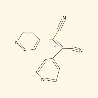 N#C/C(=C(\C#N)c1ccncc1)c1ccncc1